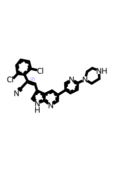 N#C/C(=C\c1c[nH]c2ncc(-c3ccc(N4CCNCC4)nc3)cc12)c1c(Cl)cccc1Cl